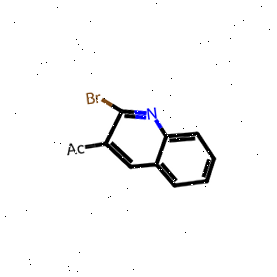 CC(=O)c1cc2ccccc2nc1Br